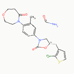 Cc1cc(N2C[C@H](Cc3ccsc3Cl)OC2=O)ccc1N1CCOCCC1=O.NC=O